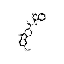 COc1ccc2[nH]c3c(c2c1)CCN(C(=O)Nc1n[nH]c2ccccc12)C3